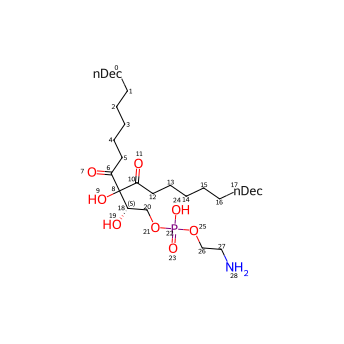 CCCCCCCCCCCCCCCC(=O)C(O)(C(=O)CCCCCCCCCCCCCCC)[C@@H](O)COP(=O)(O)OCCN